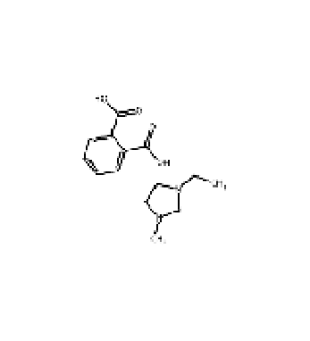 CCN1CCN(C)C1.O=C(O)c1ccccc1C(=O)O